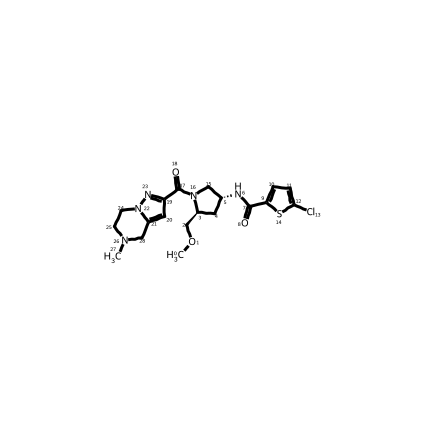 COC[C@@H]1C[C@@H](NC(=O)c2ccc(Cl)s2)CN1C(=O)c1cc2n(n1)CCN(C)C2